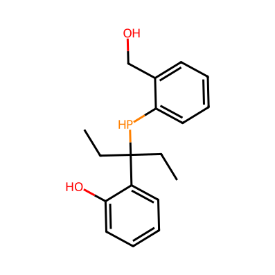 CCC(CC)(Pc1ccccc1CO)c1ccccc1O